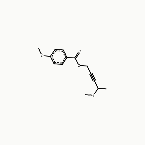 COc1ccc(C(=O)OCC#CC(C)SC)cc1